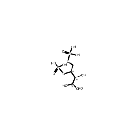 O=C[C@@H](O)[C@@H](O)[C@H](COP(=O)(O)O)OP(=O)(O)O